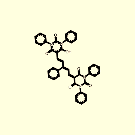 O=C1C(=CC=C(C=Cc2c(O)n(-c3ccccc3)c(=O)n(-c3ccccc3)c2=O)c2ccccc2)C(=O)N(c2ccccc2)C(=O)N1c1ccccc1